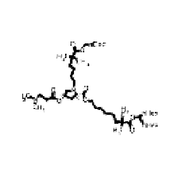 CCCCCCCCCCCOC(=O)C(C)(C)CCCCN1C[C@@H](OC(=O)CCN(C)C)C[C@H]1C(=O)OCCCCCCC(C)(C)C(=O)OC(CCCCCC)CCCCCC